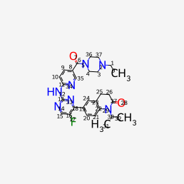 CCN1CCN(C(=O)c2ccc(Nc3ncc(F)c(-c4ccc5c(c4)CCC(=O)N5C(C)C)n3)nc2)CC1